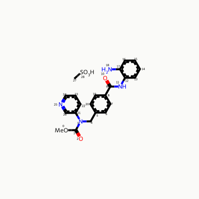 COC(=O)N(Cc1ccc(C(=O)Nc2ccccc2N)cc1)c1cccnc1.CS(=O)(=O)O